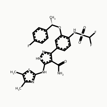 Cc1nc(Nc2[nH]nc(-c3ccc(NS(=O)(=O)C(F)F)c(O[C@@H](C)c4ccc(F)cc4)c3)c2C(N)=O)sc1C